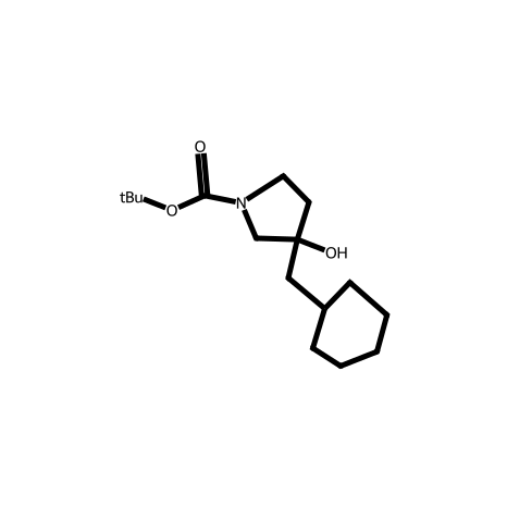 CC(C)(C)OC(=O)N1CCC(O)(CC2CCCCC2)C1